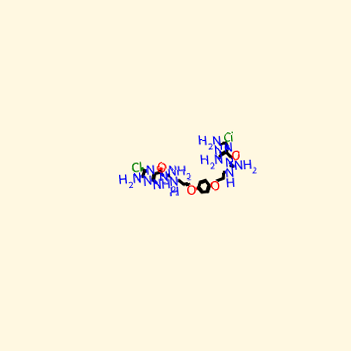 N/C(=N\C(=O)c1nc(Cl)c(N)nc1N)NCCCOc1ccc(OCCCN/C(N)=N/C(=O)c2nc(Cl)c(N)nc2N)cc1